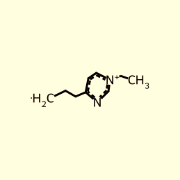 [CH2]CCc1cc[n+](CC)cn1